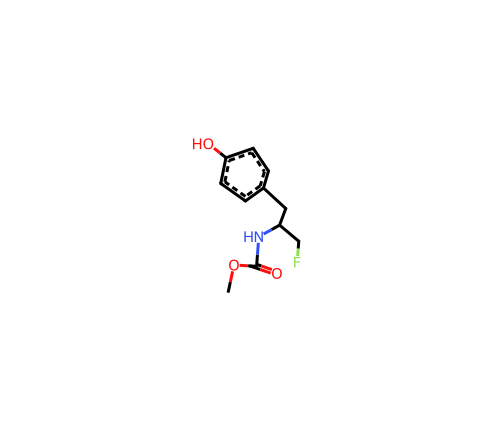 COC(=O)NC(CF)Cc1ccc(O)cc1